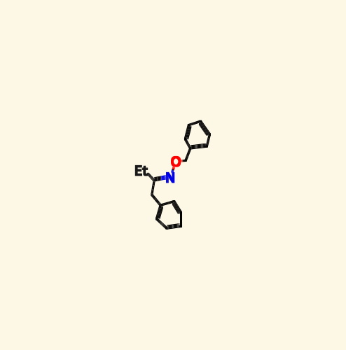 CCC(Cc1ccccc1)=NOCc1ccccc1